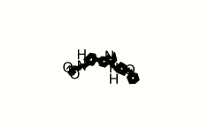 CS(=O)(=O)CCNCc1cccc(-c2ccc3c(Nc4ccc(Oc5ccccc5)cc4)ccnc3c2)c1